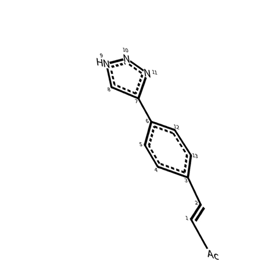 CC(=O)/C=C/c1ccc(-c2c[nH]nn2)cc1